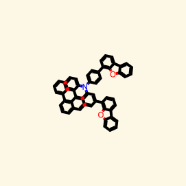 c1ccc(-c2cccc3cccc(-c4ccccc4N(c4ccc(-c5cccc6c5oc5ccccc56)cc4)c4cccc(-c5cccc6c5oc5ccccc56)c4)c23)cc1